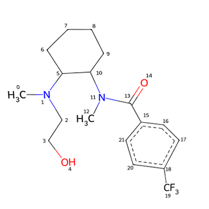 CN(CCO)C1CCCCC1N(C)C(=O)c1ccc(C(F)(F)F)cc1